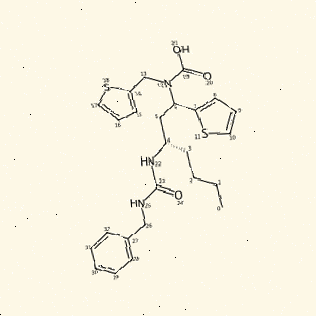 CCCC[C@@H](CC(c1cccs1)N(Cc1cccs1)C(=O)O)NC(=O)NCc1ccccc1